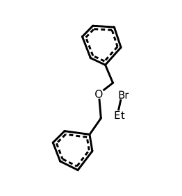 CCBr.c1ccc(COCc2ccccc2)cc1